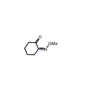 CO/N=C1/CCCCC1=O